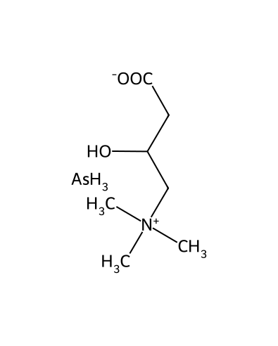 C[N+](C)(C)CC(O)CC(=O)[O-].[AsH3]